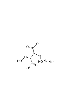 O=C([O-])C(OO)C(OO)C(=O)[O-].[Na+].[Na+]